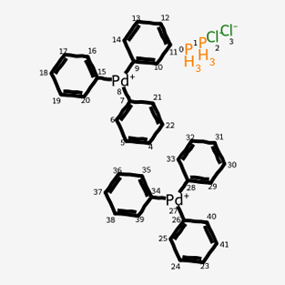 P.P.[Cl-].[Cl-].c1cc[c]([Pd+]([c]2ccccc2)[c]2ccccc2)cc1.c1cc[c]([Pd+]([c]2ccccc2)[c]2ccccc2)cc1